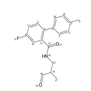 Cc1ccc(-c2ccc(F)cc2C(=O)NCC(C)C=O)cc1